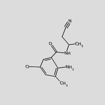 Cc1cc(Cl)cc(C(=O)NC(C)CC#N)c1N